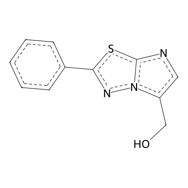 OCc1cnc2sc(-c3ccccc3)nn12